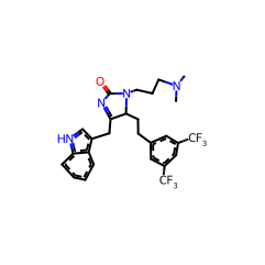 CN(C)CCCN1C(=O)N=C(Cc2c[nH]c3ccccc23)C1CCc1cc(C(F)(F)F)cc(C(F)(F)F)c1